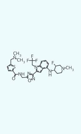 CN(C)Cc1ccc(C(=O)NCc2nc(-c3cc4c(N[C@@H]5CCN(C)C[C@@H]5F)cccc4n3CC(F)(F)F)no2)s1